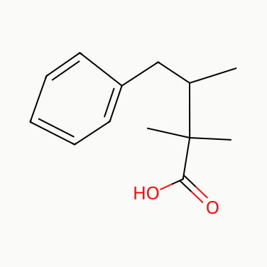 CC(Cc1ccccc1)C(C)(C)C(=O)O